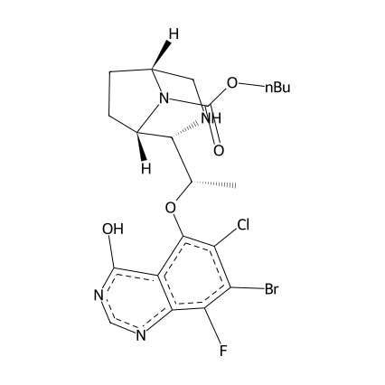 CCCCOC(=O)N1[C@@H]2CC[C@H]1[C@@H]([C@H](C)Oc1c(Cl)c(Br)c(F)c3ncnc(O)c13)NC2